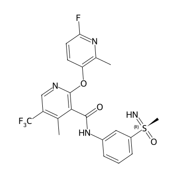 Cc1nc(F)ccc1Oc1ncc(C(F)(F)F)c(C)c1C(=O)Nc1cccc([S@](C)(=N)=O)c1